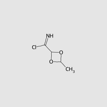 CC1OC(C(=N)Cl)O1